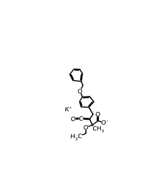 CCOC(C)(C(=O)[O-])C(=C=O)Cc1ccc(OCc2ccccc2)cc1.[K+]